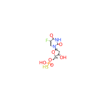 O=c1[nH]c(=O)n([C@H]2C[C@H](O)[C@@H](COP(=O)(O)S)O2)cc1F